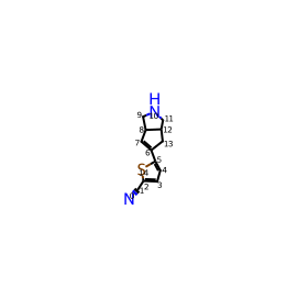 N#Cc1ccc(C2=CC3CNCC3C2)s1